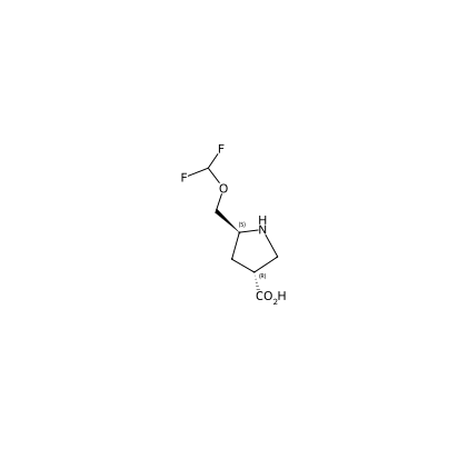 O=C(O)[C@H]1CN[C@H](COC(F)F)C1